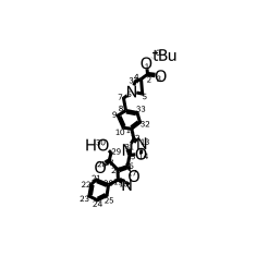 CC(C)(C)OC(=O)C1CN(Cc2ccc(-c3noc(-c4onc(-c5ccccc5)c4C(=O)CO)n3)cc2)C1